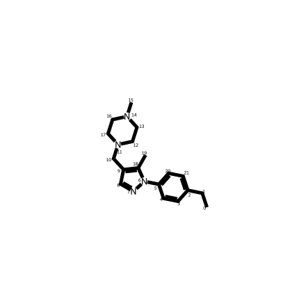 CCc1ccc(-n2ncc(CN3CCN(C)CC3)c2C)cc1